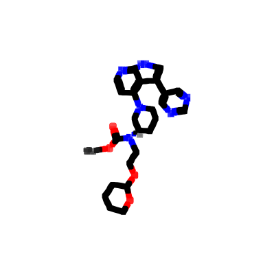 CC(C)(C)OC(=O)N(CCOC1CCCCO1)[C@H]1CCCN(c2ccnc3[nH]cc(-c4cncnc4)c23)C1